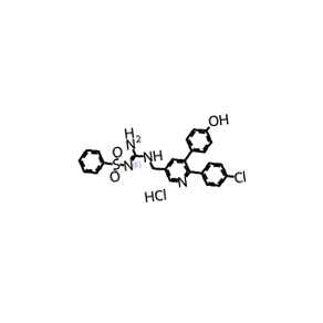 Cl.N/C(=N\S(=O)(=O)c1ccccc1)NCc1cnc(-c2ccc(Cl)cc2)c(-c2ccc(O)cc2)c1